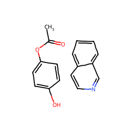 CC(=O)Oc1ccc(O)cc1.c1ccc2cnccc2c1